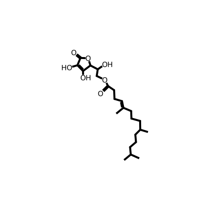 C/C(=C\CCC(=O)OCC(O)C1OC(=O)C(O)=C1O)CCCC(C)CCCC(C)C